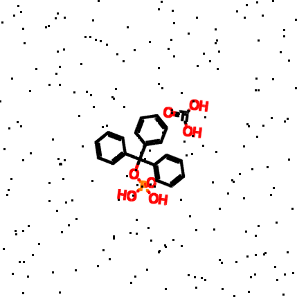 O=P(O)(O)OC(c1ccccc1)(c1ccccc1)c1ccccc1.[O]=[Ti]([OH])[OH]